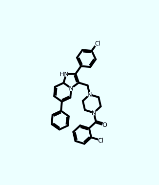 O=C(c1ccccc1Cl)N1CCN(CC2=C(c3ccc(Cl)cc3)NC3C=CC(c4ccccc4)=CN23)CC1